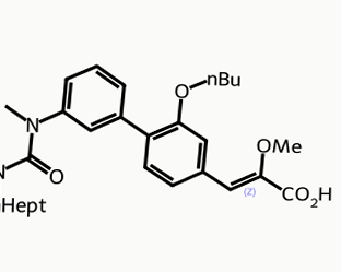 CCCCCCCNC(=O)N(C)c1cccc(-c2ccc(/C=C(\OC)C(=O)O)cc2OCCCC)c1